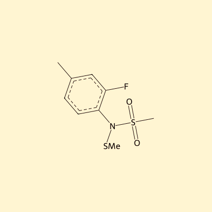 CSN(c1ccc(C)cc1F)S(C)(=O)=O